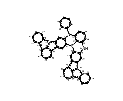 c1ccc(N2c3cc4c(cc3B3c5cc6c7cccc8c9ccccc9n(c6cc5Nc5cccc2c53)c87)c2cccc3c5ccccc5n4c32)cc1